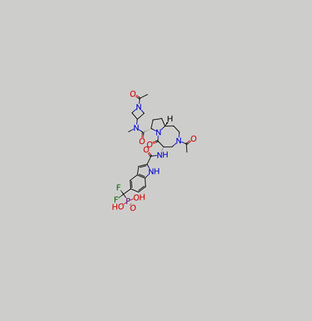 CC(=O)N1CC(N(C)C(=O)[C@@H]2CC[C@@H]3CCN(C(C)=O)C[C@H](NC(=O)c4cc5cc(C(F)(F)P(=O)(O)O)ccc5[nH]4)C(=O)N32)C1